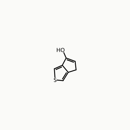 OC1=CCc2cscc21